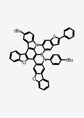 CC(C)(C)c1ccc(N2B3c4cc5cc(-c6ccccc6)sc5cc4-n4c5ccc(C(C)(C)C)cc5c5c6c(oc7ccccc76)c(c3c54)-c3cc4oc5ccccc5c4cc32)cc1